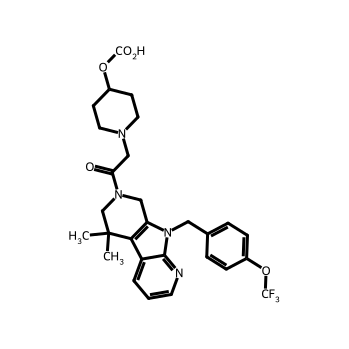 CC1(C)CN(C(=O)CN2CCC(OC(=O)O)CC2)Cc2c1c1cccnc1n2Cc1ccc(OC(F)(F)F)cc1